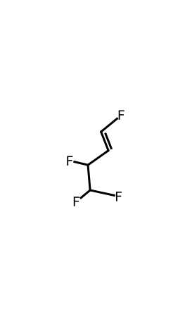 FC=CC(F)C(F)F